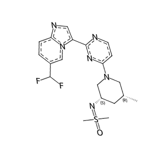 C[C@@H]1C[C@H](N=S(C)(C)=O)CN(c2ccnc(-c3cnc4ccc(C(F)F)cn34)n2)C1